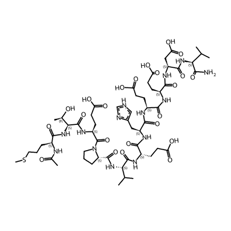 CSCCC[C@H](NC(C)=O)C(=O)N[C@H](C(=O)N[C@@H](CCC(=O)O)C(=O)N1CCC[C@H]1C(=O)N[C@H](C(=O)N[C@@H](CCC(=O)O)C(=O)N[C@@H](Cc1c[nH]cn1)C(=O)N[C@@H](CCC(=O)O)C(=O)N[C@@H](CCC(=O)O)C(=O)N[C@@H](CC(=O)O)C(=O)N[C@H](C(N)=O)C(C)C)C(C)C)[C@@H](C)O